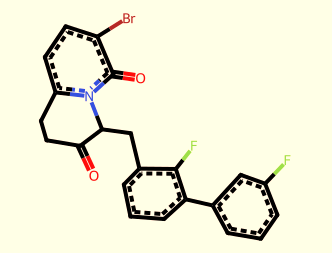 O=C1CCc2ccc(Br)c(=O)n2C1Cc1cccc(-c2cccc(F)c2)c1F